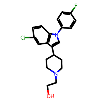 OCCN1CCC(c2cn(-c3ccc(F)cc3)c3ccc(Cl)cc23)CC1